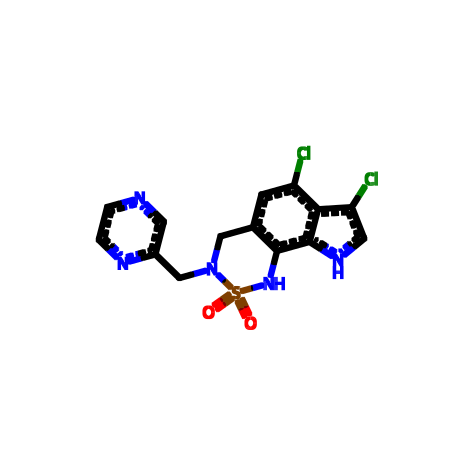 O=S1(=O)Nc2c(cc(Cl)c3c(Cl)c[nH]c23)CN1Cc1cnccn1